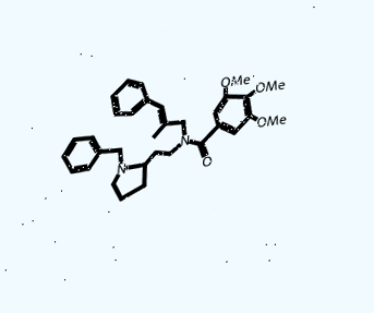 COc1cc(C(=O)N(CCC2CCCN2Cc2ccccc2)CC(C)=Cc2ccccc2)cc(OC)c1OC